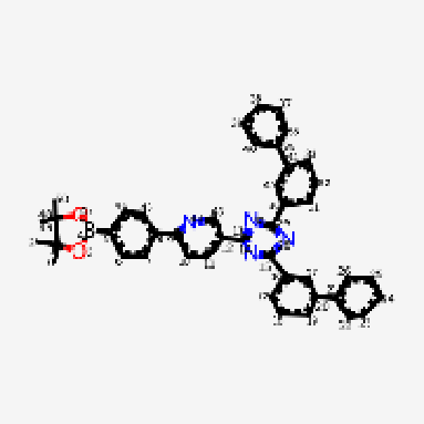 CC1(C)OB(c2ccc(-c3ccc(-c4nc(-c5cccc(-c6ccccc6)c5)nc(-c5cccc(-c6ccccc6)c5)n4)cn3)cc2)OC1(C)C